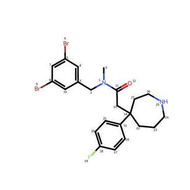 CN(Cc1cc(Br)cc(Br)c1)C(=O)CC1(c2ccc(F)cc2)CCCNCC1